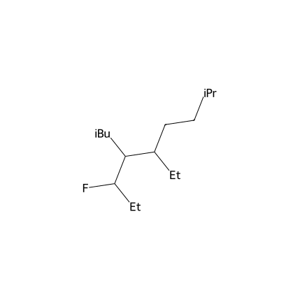 CCC(C)C(C(F)CC)C(CC)CCC(C)C